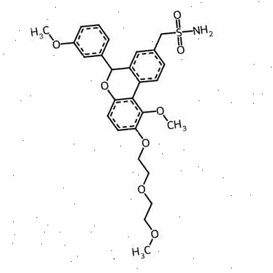 COCCOCCOc1ccc2c(c1OC)-c1ccc(CS(N)(=O)=O)cc1C(c1cccc(OC)c1)O2